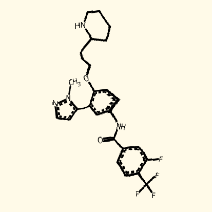 Cn1nccc1-c1cc(NC(=O)c2ccc(C(F)(F)F)c(F)c2)ccc1OCCC1CCCCN1